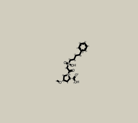 CO[C@H]1C[C@@H](C(=O)O)N(C(=O)CP(=O)(O)CCCCc2ccccc2)C1